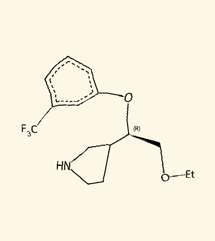 CCOC[C@H](Oc1cccc(C(F)(F)F)c1)C1CCNC1